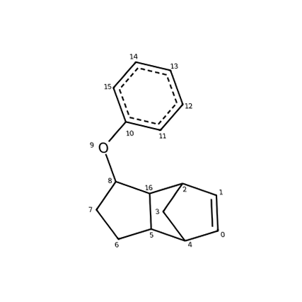 C1=CC2CC1C1CCC(Oc3ccccc3)C21